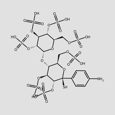 Nc1ccc([C@@]2(S)O[C@H](COS(=O)(=O)O)[C@@H](O[C@H]3O[C@H](COS(=O)(=O)O)[C@@H](OS(=O)(=O)O)[C@H](OS(=O)(=O)O)[C@H]3OS(=O)(=O)O)[C@H](OS(=O)(=O)O)[C@H]2OS(=O)(=O)O)cc1